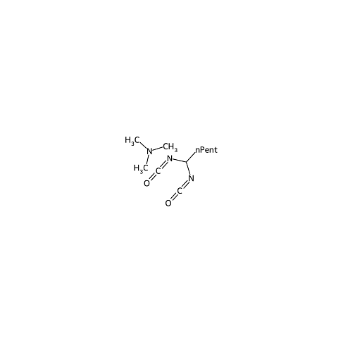 CCCCCC(N=C=O)N=C=O.CN(C)C